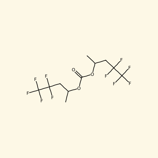 CC(CC(F)(F)C(F)(F)F)OC(=O)OC(C)CC(F)(F)C(F)(F)F